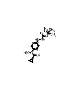 CN(C(=O)C1CC1)c1ccc(NNC(=O)OC(C)(C)C)nc1